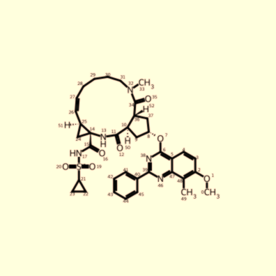 COc1ccc2c(O[C@@H]3C[C@H]4C(=O)N[C@]5(C(=O)NS(=O)(=O)C6CC6)C[C@H]5/C=C\CCCCN(C)C(=O)[C@@H]4C3)nc(-c3ccccc3)nc2c1C